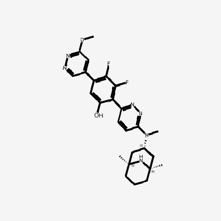 COc1cc(-c2cc(O)c(-c3ccc(N(C)[C@H]4C[C@]5(C)CCC[C@](C)(C4)N5)nn3)c(F)c2F)cnn1